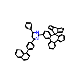 c1ccc(-c2cc(-c3ccc(-c4cccc5ccccc45)cc3)nc(-c3ccc4c(c3)-c3ccccc3-c3ccccc3C43c4ccccc4-c4ccccc43)n2)cc1